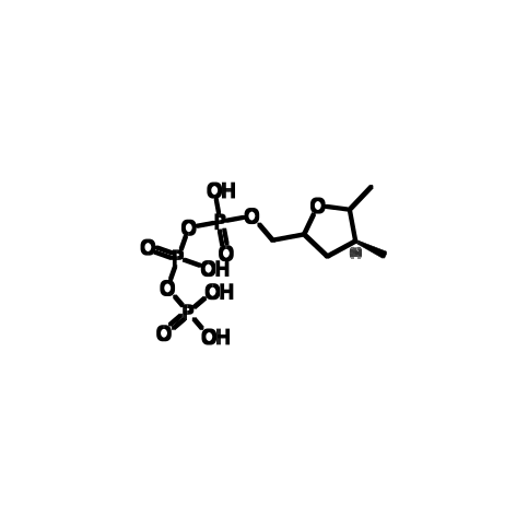 CC1OC(COP(=O)(O)OP(=O)(O)OP(=O)(O)O)C[C@@H]1C